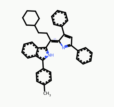 Cc1ccc(-c2[nH]c(/C(CCC3CCCCC3)=C3\N=C(c4ccccc4)C=C3c3ccccc3)c3ccccc23)cc1